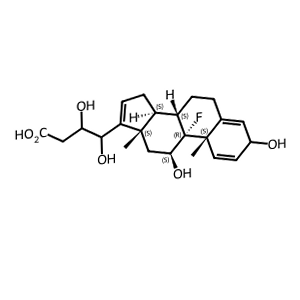 C[C@]12C=CC(O)C=C1CC[C@H]1[C@@H]3CC=C(C(O)C(O)CC(=O)O)[C@@]3(C)C[C@H](O)[C@@]12F